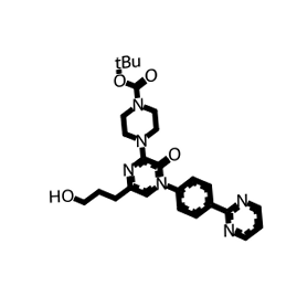 CC(C)(C)OC(=O)N1CCN(c2nc(CCCO)cn(-c3ccc(-c4ncccn4)cc3)c2=O)CC1